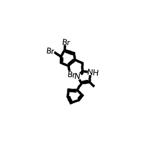 Cc1[nH]c(Cc2cc(Br)c(Br)cc2Br)nc1-c1ccccc1